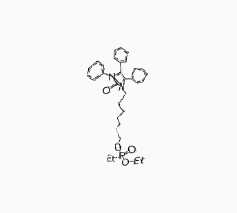 CCOP(=O)(CC)OCCCCCCCn1c(-c2ccccc2)c(-c2ccccc2)n(-c2ccccc2)c1=O